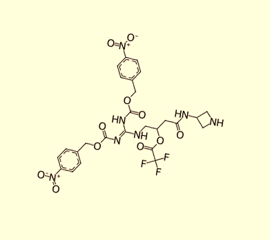 O=C(CC(CNC(=NC(=O)OCc1ccc([N+](=O)[O-])cc1)NC(=O)OCc1ccc([N+](=O)[O-])cc1)OC(=O)C(F)(F)F)NC1CNC1